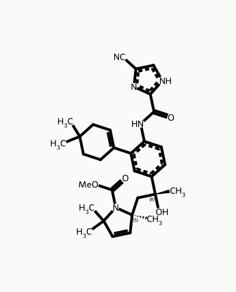 COC(=O)N1C(C)(C)C=C[C@]1(C)C[C@@](C)(O)c1ccc(NC(=O)c2nc(C#N)c[nH]2)c(C2=CCC(C)(C)CC2)c1